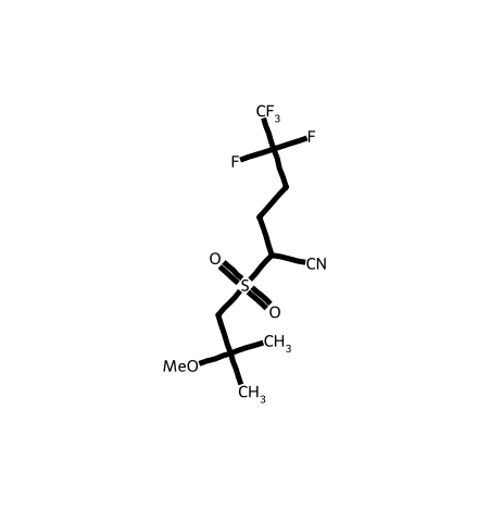 COC(C)(C)CS(=O)(=O)C(C#N)CCC(F)(F)C(F)(F)F